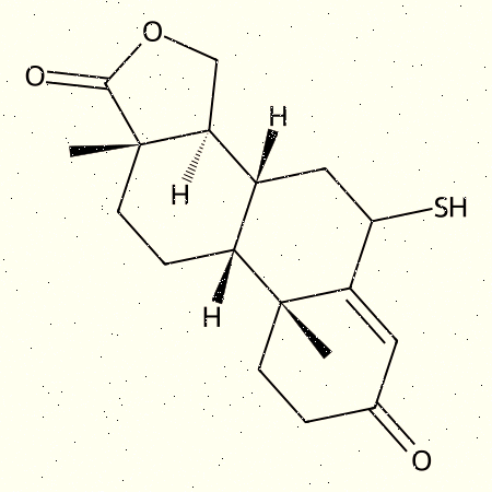 C[C@]12CCC(=O)C=C1C(S)C[C@@H]1[C@H]2CC[C@]2(C)C(=O)OC[C@@H]12